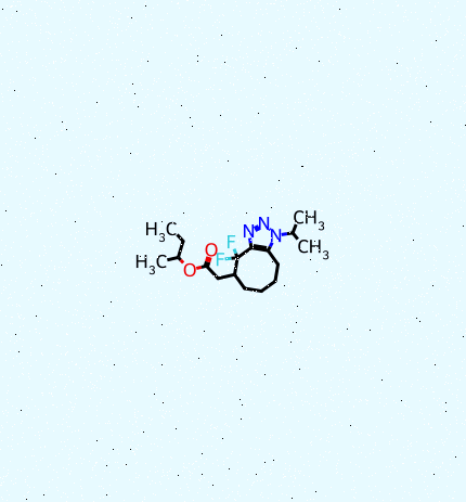 CCC(C)OC(=O)CC1CCCCc2c(nnn2C(C)C)C1(F)F